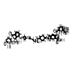 CN(CCCO[C@H]1C[C@H](Nc2cccc3c2C(=O)N(C2CCC(=O)NC2O)C3=O)C1)CC1CCC(n2cc3cc(NC(=O)c4cccc(S(F)(F)(F)(F)F)n4)c(C(C)(C)O)cc3n2)CC1